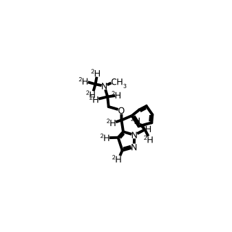 [2H]c1nn(C([2H])([2H])[2H])c(C([2H])(OCC([2H])([2H])N(C)C([2H])([2H])[2H])c2ccccc2)c1[2H]